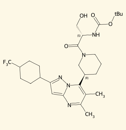 Cc1nc2cc(C3CCC(C(F)(F)F)CC3)nn2c([C@@H]2CCCN(C(=O)[C@H](CO)NC(=O)OC(C)(C)C)C2)c1C